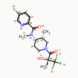 C[C@@H]1CN(C(=O)[C@@](C)(O)C(F)(F)F)CC[C@@H]1N(C)C(=O)c1ccc(F)cn1